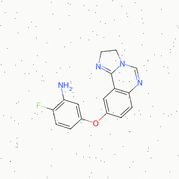 Nc1cc(Oc2ccc3c(c2)C2=NCCN2C=N3)ccc1F